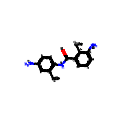 COc1cc(N)ccc1NC(=O)c1cccc(N)c1OC